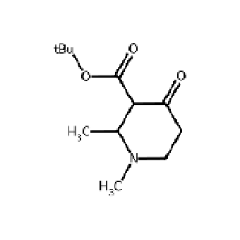 CC1C(C(=O)OC(C)(C)C)C(=O)CCN1C